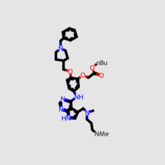 CCCCOC(=O)COc1cc(Nc2ncnc3[nH]cc(CN(C)CCCNC)c23)ccc1OCC1CCN(Cc2ccccc2)CC1